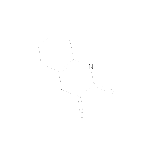 O=C1CC2=C(CCCC2)NC1=O